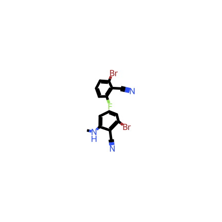 CNc1cccc(Br)c1C#N.N#Cc1c(F)cccc1Br